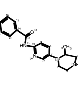 CC1CNCCN1c1ccc(NC(=O)c2ccccc2)nc1